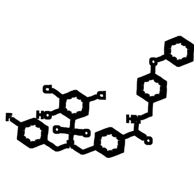 O=C(NCc1ccc(Oc2ccccc2)cc1)c1ccc(CN(Cc2ccc(F)cc2)S(=O)(=O)c2cc(Cl)cc(Cl)c2O)cc1